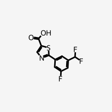 O=C(O)c1cnc(-c2cc(F)cc(C(F)F)c2)s1